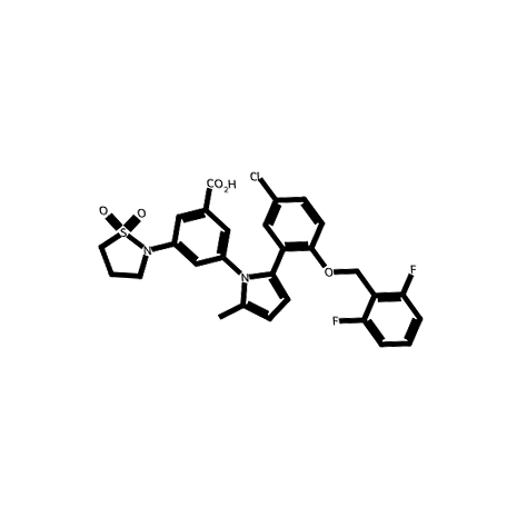 Cc1ccc(-c2cc(Cl)ccc2OCc2c(F)cccc2F)n1-c1cc(C(=O)O)cc(N2CCCS2(=O)=O)c1